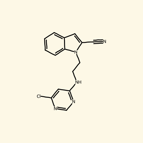 N#Cc1cc2ccccc2n1CCNc1cc(Cl)ncn1